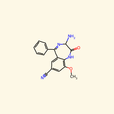 COc1cc(C#N)cc2c1NC(=O)C(N)N=C2c1ccccc1